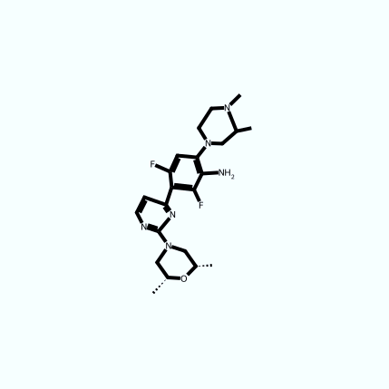 CC1CN(c2cc(F)c(-c3ccnc(N4C[C@@H](C)O[C@@H](C)C4)n3)c(F)c2N)CCN1C